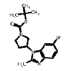 Cc1nc2ccc(Br)cc2n1C1CCN(C(=O)OC(C)(C)C)C1